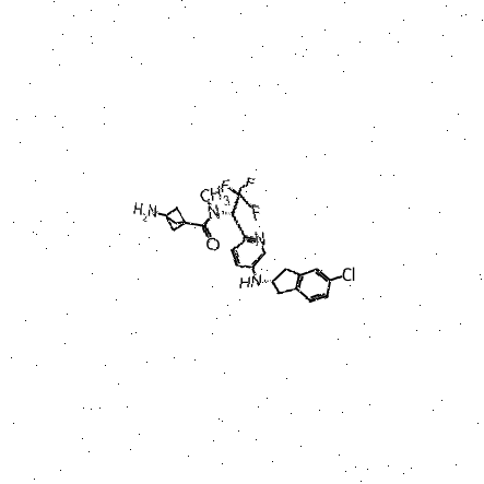 CN(C(=O)C12CC(N)(C1)C2)[C@@H](c1ccc(N[C@H]2Cc3ccc(Cl)cc3C2)cn1)C(F)(F)F